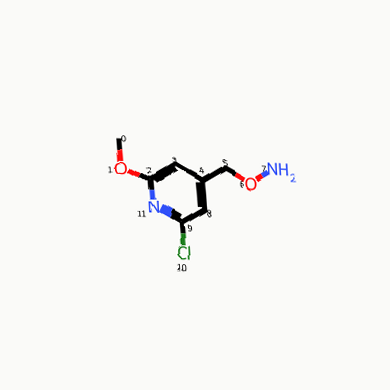 COc1cc(CON)cc(Cl)n1